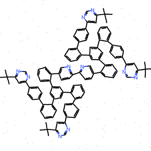 CC(C)(C)c1cc(-c2ccc(-c3ccccc3-c3cc(-c4ccccc4-c4ccc(-c5cc(C(C)(C)C)ncn5)cc4)cc(-c4ccccc4-c4ccc(-c5ccc(-c6ccccc6-c6cc(-c7ccccc7-c7ccc(-c8cc(C(C)(C)C)ncn8)cc7)cc(-c7ccccc7-c7ccc(-c8cc(C(C)(C)C)ncn8)cc7)c6)cn5)nc4)c3)cc2)ncn1